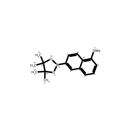 COc1cccc2cc(B3OC(C)(C)C(C)(C)O3)ccc12